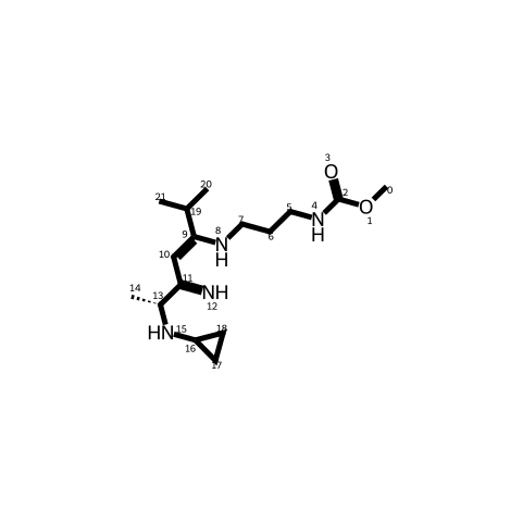 COC(=O)NCCCN/C(=C\C(=N)[C@@H](C)NC1CC1)C(C)C